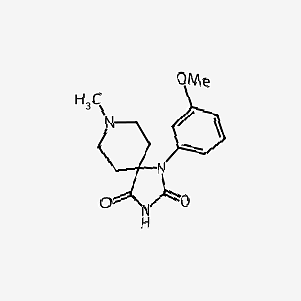 COc1cccc(N2C(=O)NC(=O)C23CCN(C)CC3)c1